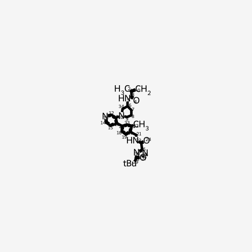 C=C(C)C(=O)NC1CCCN(c2cnccc2-c2ccc(CNC(=O)c3noc(C(C)(C)C)n3)c(C)c2)C1